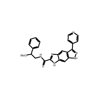 COC(CNC(=O)c1nc2cc3c(-c4ccncc4)n[nH]c3cc2[nH]1)c1ccccc1